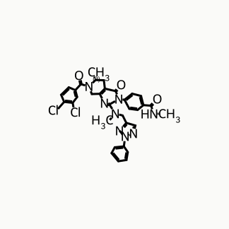 CNC(=O)c1ccc(-n2c(N(C)Cc3cnn(-c4ccccc4)n3)nc3c(c2=O)C[C@@H](C)N(C(=O)c2ccc(Cl)c(Cl)c2)C3)cc1